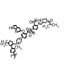 Cc1cc(C(F)(F)F)ccc1C1=C(CN2CCN(c3ccc(C(=O)NS(=O)(=O)c4ccc(NCC5CN(C(=O)C(C)C)CCO5)c([N+](=O)[O-])c4)c(Oc4cnc5[nH]ccc5c4)c3)CC2)CCC(C)(C)C1